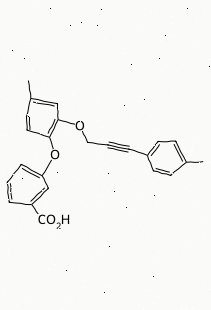 Cc1ccc(C#CCOc2cc(C)ccc2Oc2cccc(C(=O)O)c2)cc1